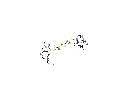 Cc1ccc2c(c1)C(SCCSCCSCN(C)C(C)(C)C)=CC(=O)C2